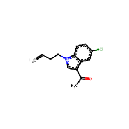 C=CCCn1cc(C(C)=O)c2cc(Cl)ccc21